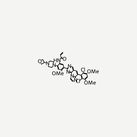 C=CC(=O)Nc1cc(-c2ncc3cc(-c4c(Cl)c(OC)cc(OC)c4Cl)c4nccn4c3n2)c(OC)cc1N1CCN(C2COC2)CC1